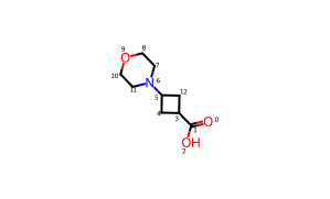 O=C(O)C1CC(N2CCOCC2)C1